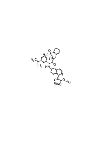 C=C(C)c1cccc(C(Nc2ccc3c(N(OC(C)(C)C)C(=O)OC(C)(C)C)nccc3c2)C(=O)NCc2ccccc2S(C)(=O)=O)c1